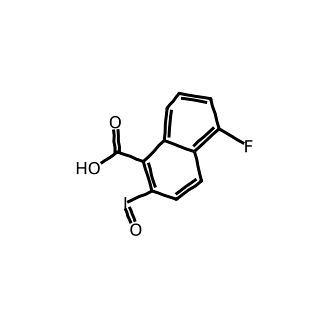 O=Ic1ccc2c(F)cccc2c1C(=O)O